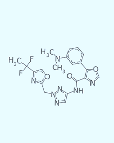 CN(C)c1cccc(-c2ocnc2C(=O)Nc2cnn(Cc3nc(C(C)(F)F)co3)n2)c1